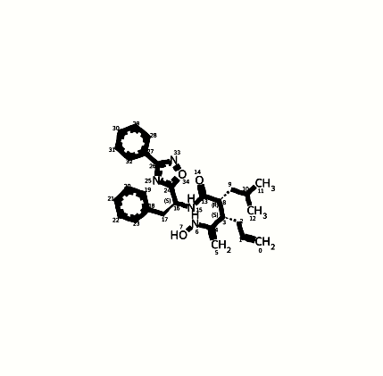 C=CC[C@H](C(=C)NO)[C@@H](CC(C)C)C(=O)N[C@@H](Cc1ccccc1)c1nc(-c2ccccc2)no1